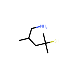 CC(CN)CC(C)(C)S